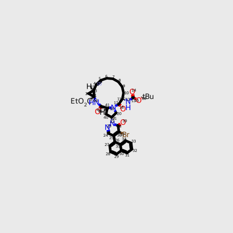 CCOC(=O)[C@@]12C[C@H]1/C=C\CCCCC[C@H](NC(=O)OC(C)(C)C)C(=O)N1C[C@H](n3ncc(-c4cccc5ccccc45)c(Br)c3=O)C[C@H]1C(=O)N2